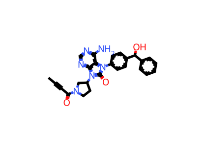 CC#CC(=O)N1CCC(n2c(=O)n(-c3ccc(C(O)c4ccccc4)cc3)c3c(N)ncnc32)C1